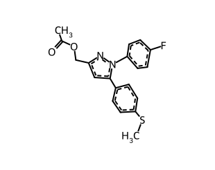 CSc1ccc(-c2cc(COC(C)=O)nn2-c2ccc(F)cc2)cc1